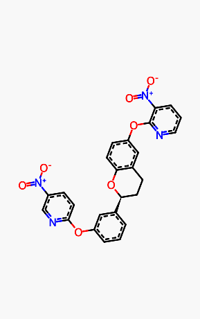 O=[N+]([O-])c1ccc(Oc2cccc([C@@H]3CCc4cc(Oc5ncccc5[N+](=O)[O-])ccc4O3)c2)nc1